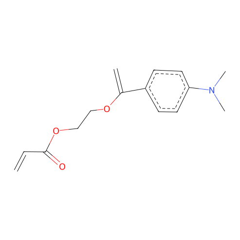 C=CC(=O)OCCOC(=C)c1ccc(N(C)C)cc1